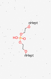 CCCCCCCOCCOP(=O)(O)OCCOCCCCCCC